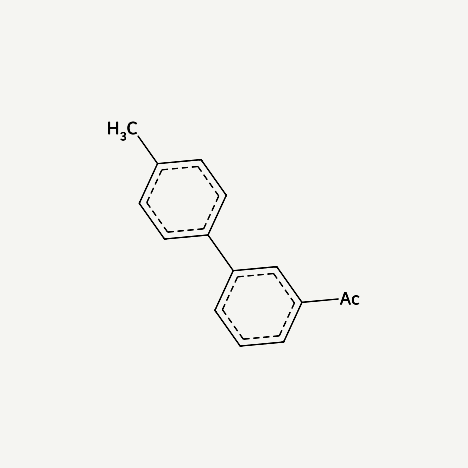 CC(=O)c1cccc(-c2ccc(C)cc2)c1